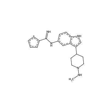 CNN1CCC(c2c[nH]c3ccc(NC(=N)c4cccs4)cc23)CC1